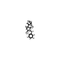 O=C1C2CC2(c2cnno2)C(=O)N1Cc1ccccc1